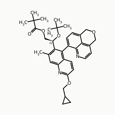 Cc1cc2nc(OCC3CC3)ccc2c(-c2ccc3c4c(ccnc24)COC3)c1[C@@H](COC(=O)C(C)(C)C)OC(C)(C)C